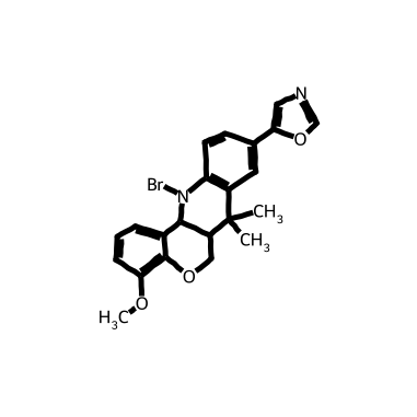 COc1cccc2c1OCC1C2N(Br)c2ccc(-c3cnco3)cc2C1(C)C